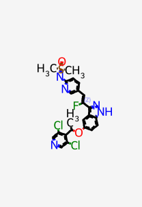 CC(Oc1ccc2[nH]nc(/C(F)=C/c3ccc(N=S(C)(C)=O)nc3)c2c1)c1c(Cl)cncc1Cl